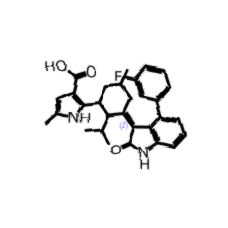 Cc1cc(C(=O)O)c(C2CC(C)C/C(=C3/C(=O)Nc4cccc(-c5cccc(F)c5)c43)C2C(C)C)[nH]1